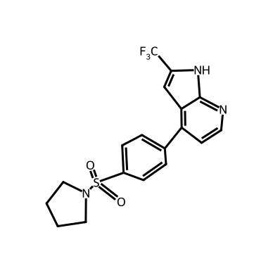 O=S(=O)(c1ccc(-c2ccnc3[nH]c(C(F)(F)F)cc23)cc1)N1CCCC1